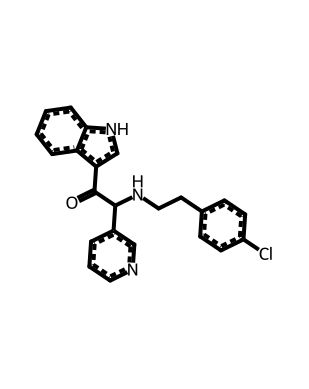 O=C(c1c[nH]c2ccccc12)C(NCCc1ccc(Cl)cc1)c1cccnc1